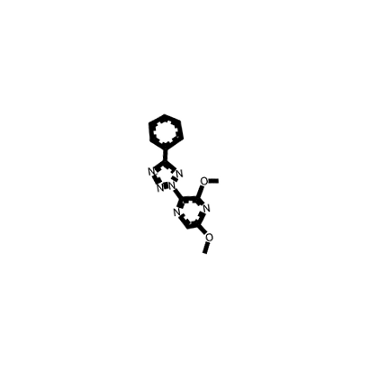 COc1cnc(-n2nnc(-c3ccccc3)n2)c(OC)n1